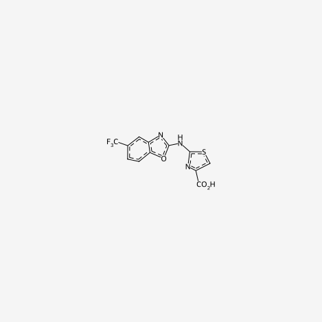 O=C(O)c1csc(Nc2nc3cc(C(F)(F)F)ccc3o2)n1